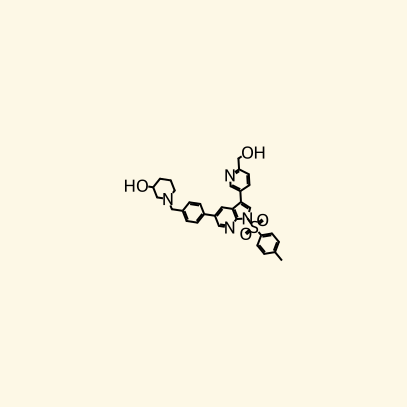 Cc1ccc(S(=O)(=O)n2cc(-c3ccc(CO)nc3)c3cc(-c4ccc(CN5CCCC(O)C5)cc4)cnc32)cc1